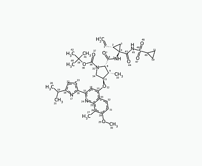 C=C[C@@H]1C[C@]1(NC(=O)[C@@H]1[C@H](C)[C@@H](Oc2cc(-c3nc(C(C)C)cs3)nc3c(C)c(OC)ccc23)CN1C(=O)OC(C)(C)C)C(=O)NS(=O)(=O)C1CC1